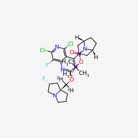 [2H]C([2H])(Oc1nc(N2C[C@H]3CC[C@@H](C2)N3C(=O)OC(C)(C)C)c2c(Cl)nc(Cl)c(F)c2n1)[C@@]12CCCN1C[C@H](F)C2